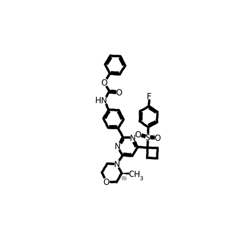 C[C@H]1COCCN1c1cc(C2(S(=O)(=O)c3ccc(F)cc3)CCC2)nc(-c2ccc(NC(=O)Oc3ccccc3)cc2)n1